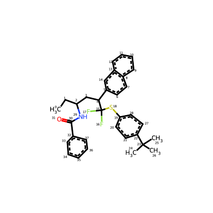 CCC(CC(c1ccc2ccccc2c1)C(F)(F)Sc1ccc(C(C)(C)C)cc1)NC(=O)c1ccccc1